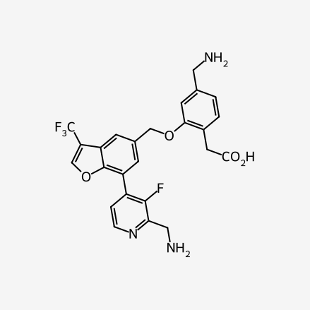 NCc1ccc(CC(=O)O)c(OCc2cc(-c3ccnc(CN)c3F)c3occ(C(F)(F)F)c3c2)c1